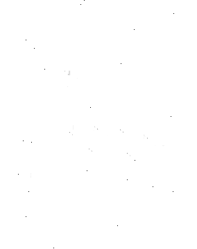 CCCNc1ncc2nc(Nc3c(F)cc(F)cc3F)n(C(C)CCC(N)=O)c2n1